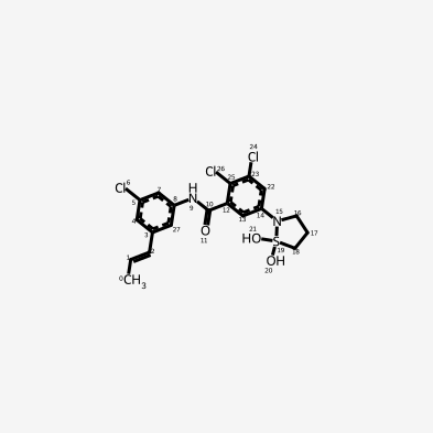 C/C=C/c1cc(Cl)cc(NC(=O)c2cc(N3CCCS3(O)O)cc(Cl)c2Cl)c1